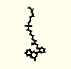 CCN=C=NCCC[N+](C)(C)CCOCCNC(=O)COc1ccccc1C1=Nc2ccccc2NC(=O)C1